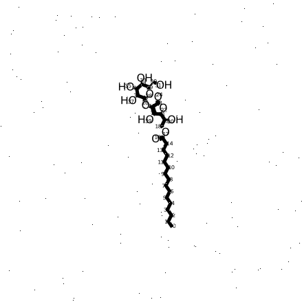 CCCCCCCCCCCCCCCC(=O)OC[C@H](O)[C@H]1OC(=O)C(OC2O[C@H](CO)[C@@H](O)[C@H](O)[C@H]2O)=C1O